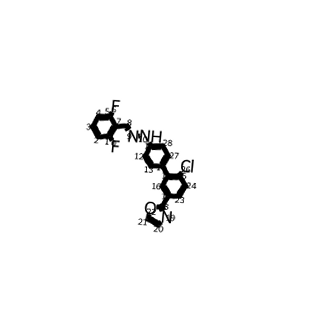 Fc1cccc(F)c1C=NNc1ccc(-c2cc(-c3ncco3)ccc2Cl)cc1